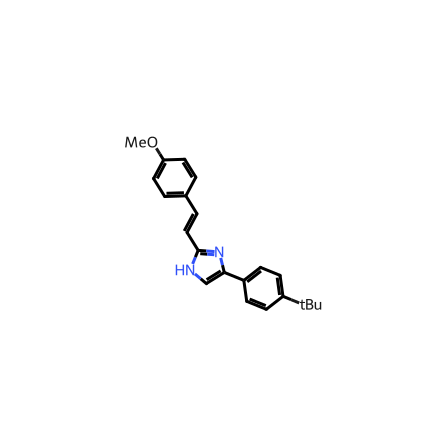 COc1ccc(C=Cc2nc(-c3ccc(C(C)(C)C)cc3)c[nH]2)cc1